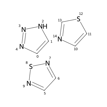 c1c[nH]nn1.c1cnsn1.c1cscn1